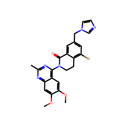 COc1cc2nc(C)nc(N3CCc4c(Br)cc(Cn5ccnc5)cc4C3=O)c2cc1OC